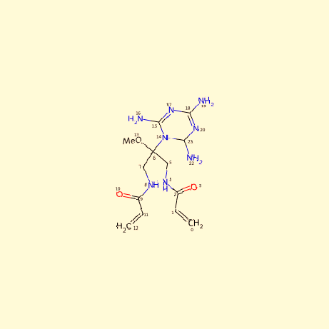 C=CC(=O)NCC(CNC(=O)C=C)(OC)N1C(N)=NC(N)=NC1N